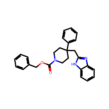 O=C(OCc1ccccc1)N1CCC(Cc2nc3ccccc3[nH]2)(c2ccccc2)CC1